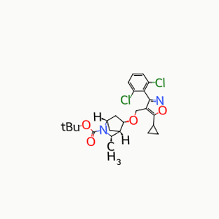 C[C@@H]1[C@@H]2C[C@@H](C[C@H]2OCc2c(-c3c(Cl)cccc3Cl)noc2C2CC2)N1C(=O)OC(C)(C)C